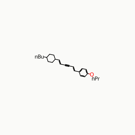 CCCCC1CCC(C=CC#CC=Cc2ccc(OCCC)cc2)CC1